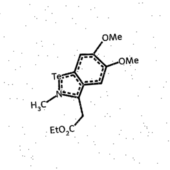 CCOC(=O)Cc1c2cc(OC)c(OC)cc2[te][n+]1C